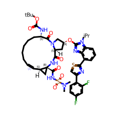 CC(C)n1c(O[C@@H]2C[C@H]3C(=O)N[C@]4(C(=O)NS(=O)(=O)N(C)C)C[C@H]4/C=C\CCCCC[C@H](NC(=O)OC(C)(C)C)C(=O)N3C2)nc2c(-c3nc(-c4ccc(F)cc4F)cs3)cccc21